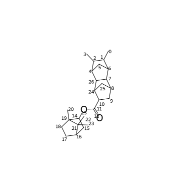 CC1C(C)C2CC1C1C3CC(C(=O)OC4CC5CCC4(C)C5(C)C)C(C3)C21